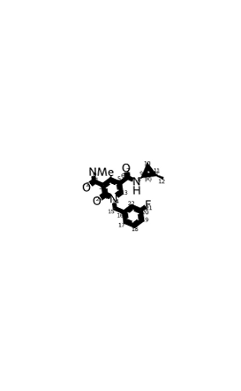 CNC(=O)c1cc(C(=O)N[C@@H]2C[C@H]2C)cn(Cc2cccc(F)c2)c1=O